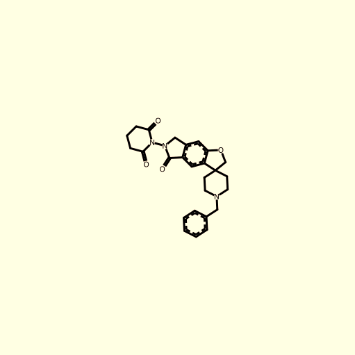 O=C1c2cc3c(cc2CN1N1C(=O)CCCC1=O)OCC31CCN(Cc2ccccc2)CC1